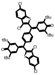 CC(C)(C)C1=CC(=C(c2ccc(C(=C3C=C(C(C)(C)C)C(=O)C(C(C)(C)C)=C3)c3sc4cc(Cl)ccc4c3Cl)cc2)c2sc3cc(Cl)ccc3c2Cl)C=C(C(C)(C)C)C1=O